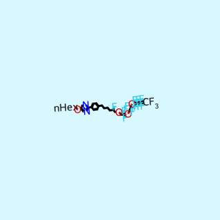 CCCCCCOc1cnc(-c2ccc(CCCCC(F)COCC(F)(F)OC(F)(F)C(F)(F)OC(F)(F)C(F)(F)C(F)(F)C(F)(F)F)cc2)nc1